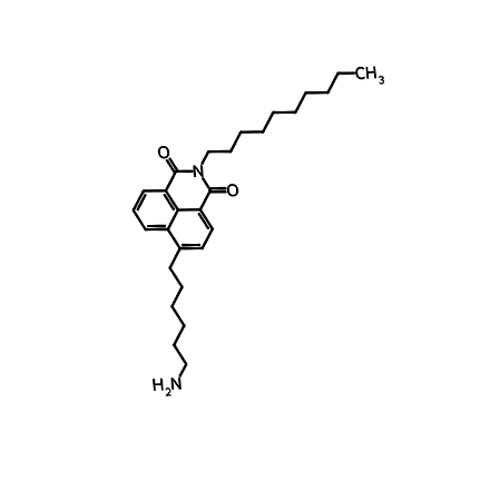 CCCCCCCCCCN1C(=O)c2cccc3c(CCCCCCN)ccc(c23)C1=O